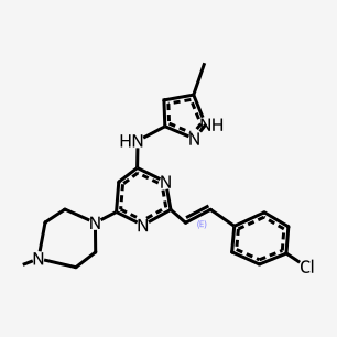 Cc1cc(Nc2cc(N3CCN(C)CC3)nc(/C=C/c3ccc(Cl)cc3)n2)n[nH]1